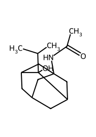 CC(=O)NC12CC3CC(C1)C(O)(C(C)C)C(C3)C2